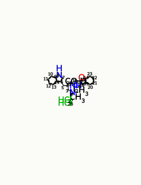 CN(C)C[C@](Cc1c[nH]c2ccccc12)(NCc1cc2ccccc2o1)C(=O)O.Cl.Cl